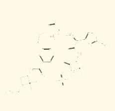 CC1(C)[C@@H](CN)C[C@H]1NC(=N)c1ccc2c(c1)CCC[C@H]([C@](C)(O/N=C(\C(=O)N[C@@H]1C(=O)N(OS(=O)(=O)O)C1(C)C)c1csc(N)n1)C(=O)O)O2